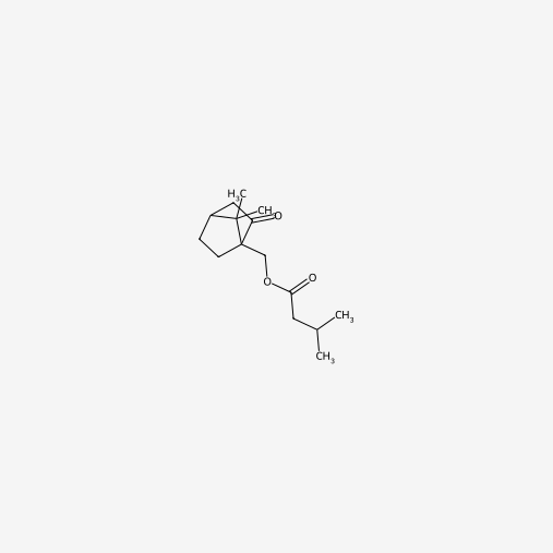 CC(C)CC(=O)OCC12CCC(CC1=O)C2(C)C